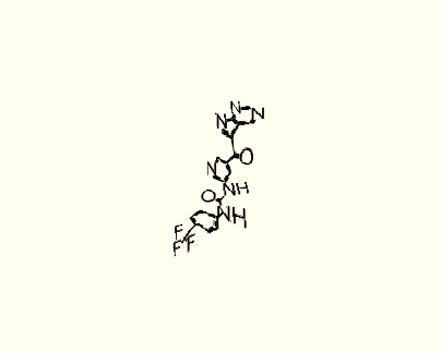 Cn1cc(C(=O)c2cncc(NC(=O)Nc3ccc(C(F)(F)F)cc3)c2)c2cncnc21